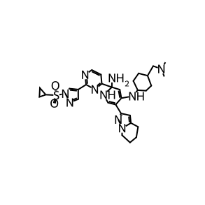 CN(C)CC1CCC(NC2=CC(N)(c3ccnc(-c4cnn(S(=O)(=O)C5CC5)c4)n3)NC=C2c2cc3n(n2)CCCC3)CC1